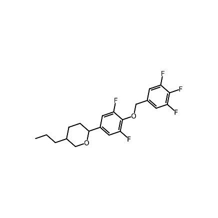 CCCC1CCC(c2cc(F)c(OCc3cc(F)c(F)c(F)c3)c(F)c2)OC1